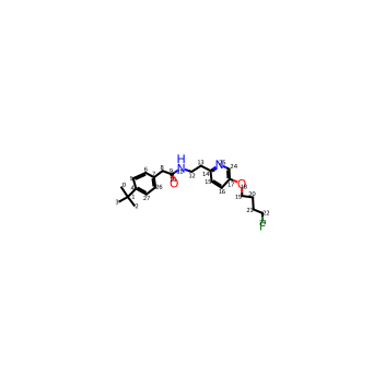 CC(C)(C)c1ccc(CC(=O)NCCc2ccc(OCCCCF)cn2)cc1